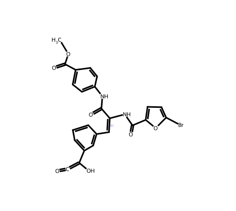 COC(=O)c1ccc(NC(=O)/C(=C\c2cccc(C(O)=C=O)c2)NC(=O)c2ccc(Br)o2)cc1